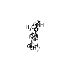 C=S(C)(=O)CCCNc1nccn2c(-c3ccc(C(=O)NC4CC4)c(C)c3)cnc12